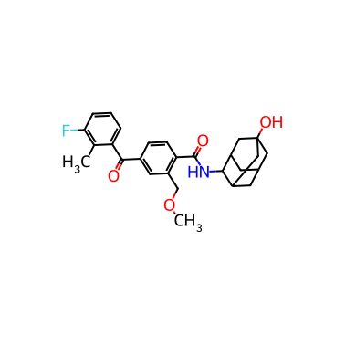 COCc1cc(C(=O)c2cccc(F)c2C)ccc1C(=O)NC1C2CC3CC1CC(O)(C3)C2